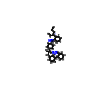 C=C/C=C(\C=C)c1ccccc1Nc1ccc(C(C)(C)Cc2cccc(-c3ccccc3N)c2)cc1